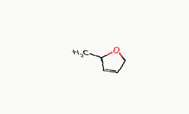 [CH2]C1C=CCO1